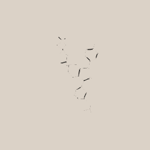 CC1(NC(=O)[C@@H]2CCC(C(=N)c3cncc(OC(F)F)c3)=C(Nc3ccc(F)cn3)C2)CS(=O)(=O)C1